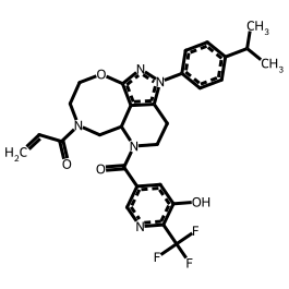 C=CC(=O)N1CCOc2nn(-c3ccc(C(C)C)cc3)c3c2C(C1)N(C(=O)c1cnc(C(F)(F)F)c(O)c1)CC3